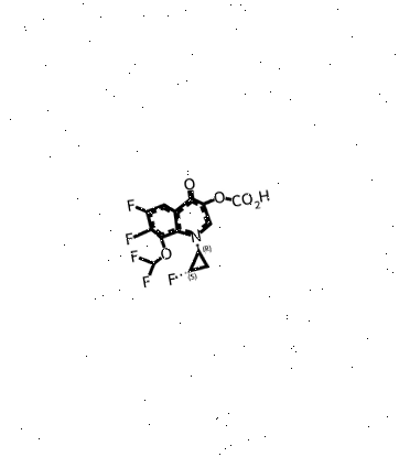 O=C(O)Oc1cn([C@@H]2C[C@@H]2F)c2c(OC(F)F)c(F)c(F)cc2c1=O